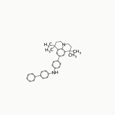 CC1(C)CCN2CCC(C)(C)c3cc(-c4ccc(Nc5ccc(-c6ccccc6)cc5)cc4)cc1c32